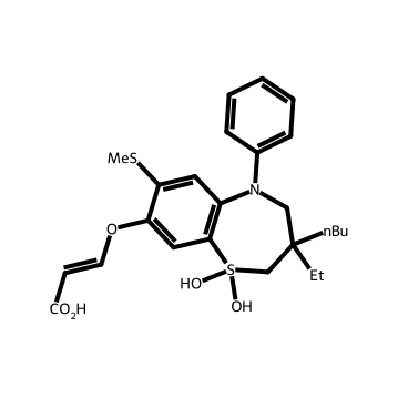 CCCCC1(CC)CN(c2ccccc2)c2cc(SC)c(O/C=C/C(=O)O)cc2S(O)(O)C1